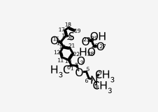 CC(C(=O)OCCN(C)C)c1ccc(C(=O)c2cccs2)cc1.O=C(O)C(=O)O